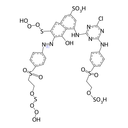 O=S(=O)(O)OCCS(=O)(=O)c1ccc(Nc2nc(Cl)nc(Nc3cc(S(=O)(=O)O)cc4cc(SOOO)c(/N=N/c5ccc(S(=O)(=O)CCOSOOO)cc5)c(O)c34)n2)cc1